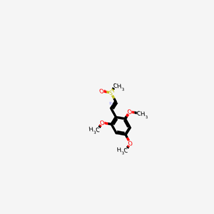 COc1cc(OC)c(/C=C/[S+](C)[O-])c(OC)c1